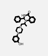 CC(CN1CCN(c2cccc(O)c2)CC1)N1c2ccccc2C(=O)NC1c1ccccc1